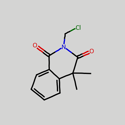 CC1(C)C(=O)N(CCl)C(=O)c2ccccc21